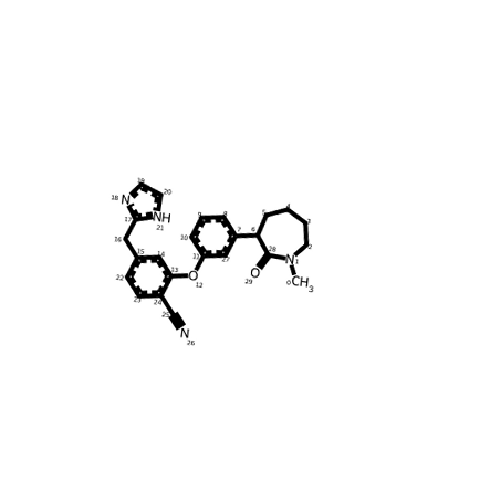 CN1CCCCC(c2cccc(Oc3cc(Cc4ncc[nH]4)ccc3C#N)c2)C1=O